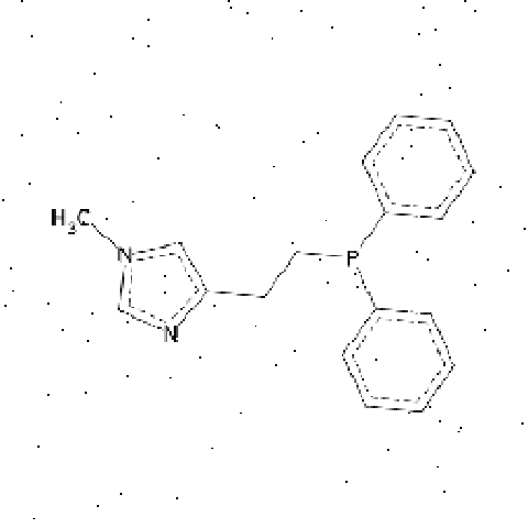 Cn1cnc(CCP(c2ccccc2)c2ccccc2)c1